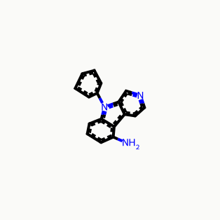 Nc1cccc2c1c1ccncc1n2-c1ccccc1